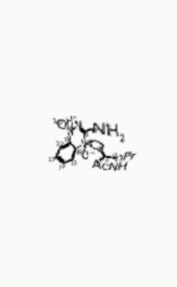 CCCC(NC(C)=O)O[N+]1([O-])C(N)=N[NH+]([O-])c2ccccc21